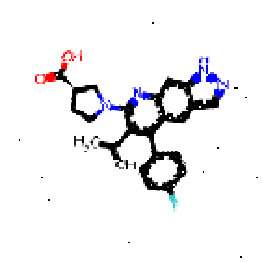 CC(C)c1c(N2CC[C@@H](C(=O)O)C2)nc2cc3[nH]ncc3cc2c1-c1ccc(F)cc1